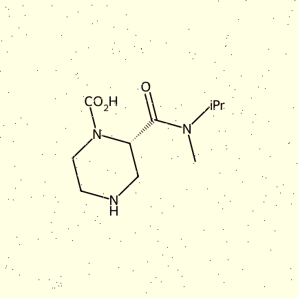 CC(C)N(C)C(=O)[C@@H]1CNCCN1C(=O)O